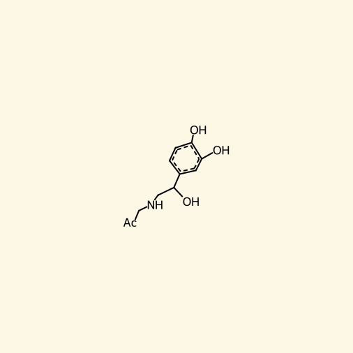 CC(=O)CNCC(O)c1ccc(O)c(O)c1